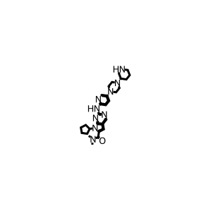 CN(C)C(=O)c1cc2cnc(Nc3ccc(N4CCN(C5CCCNC5)CC4)cn3)nc2n1C1CCCC1